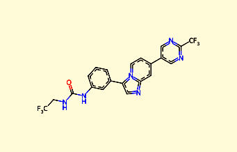 O=C(NCC(F)(F)F)Nc1cccc(-c2cnc3cc(-c4cnc(C(F)(F)F)nc4)ccn23)c1